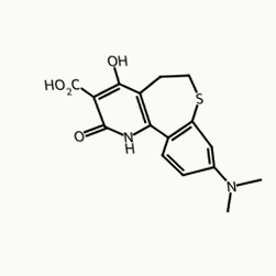 CN(C)c1ccc2c(c1)SCCc1c-2[nH]c(=O)c(C(=O)O)c1O